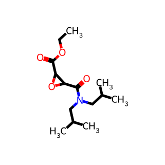 CCOC(=O)C1OC1C(=O)N(CC(C)C)CC(C)C